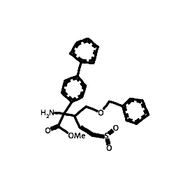 COC(=O)C(N)(c1ccc(-c2ccccc2)cc1)C(C=C=S(=O)=O)COCc1ccccc1